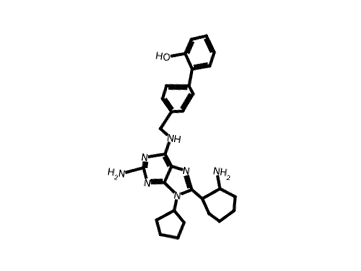 Nc1nc(NCc2ccc(-c3ccccc3O)cc2)c2nc(C3CCCCC3N)n(C3CCCC3)c2n1